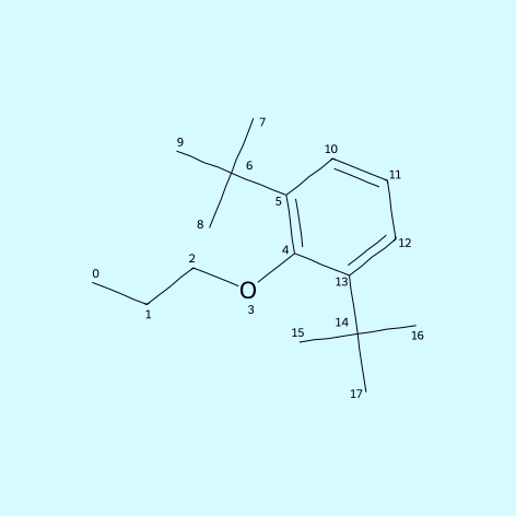 CCCOc1c(C(C)(C)C)cccc1C(C)(C)C